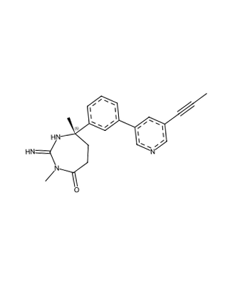 CC#Cc1cncc(-c2cccc([C@]3(C)CCC(=O)N(C)C(=N)N3)c2)c1